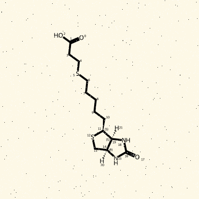 O=C(O)CCSCCCCC[C@@H]1SC[C@@H]2NC(=O)N[C@@H]21